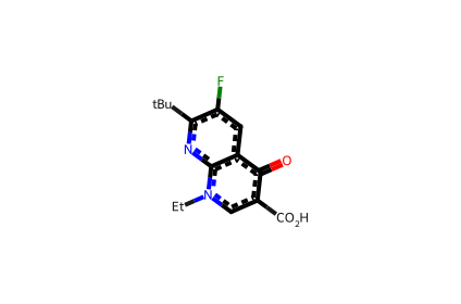 CCn1cc(C(=O)O)c(=O)c2cc(F)c(C(C)(C)C)nc21